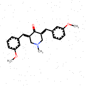 COc1cccc(/C=C2\CN(C)C/C(=C\c3cccc(OC)c3)C2=O)c1